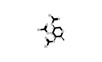 CCC(=O)O[C@H]1[C@H](OC(=O)CC)[C@@H](OC(=O)CC)[CH]O[C@H]1C